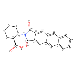 O=C(O)[C@H]1CCCC[C@@H]1N1C(=O)c2cc3cc4ccccc4cc3cc2C1=O